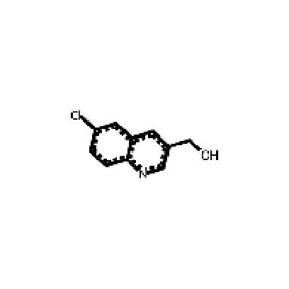 OCc1cnc2ccc(Cl)cc2c1